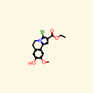 CCOC(=O)c1cc2n(c1Br)CCc1cc(O)c(OC)cc1-2